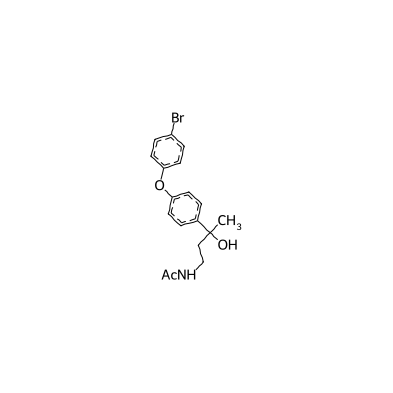 CC(=O)NCCC(C)(O)c1ccc(Oc2ccc(Br)cc2)cc1